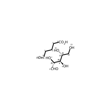 CCCCCCCCCCCCCC(=O)O.O=C[C@H](O)[C@H](O)[C@H](O)CO